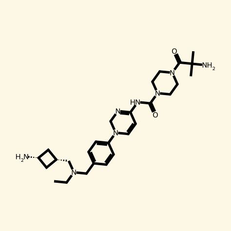 CCN(Cc1ccc(N2C=CC(NC(=O)N3CCN(C(=O)C(C)(C)N)CC3)=NC2)cc1)C[C@H]1C[C@@H](N)C1